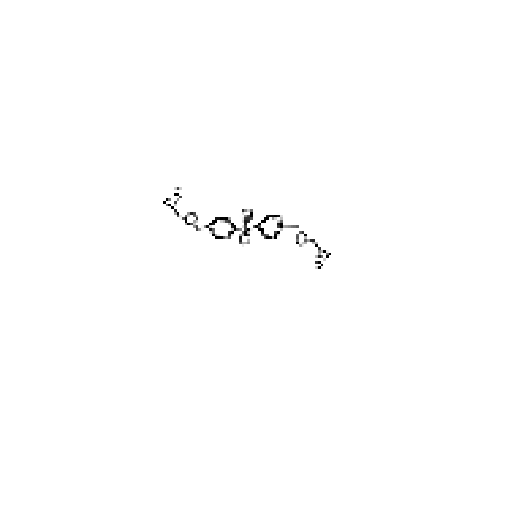 O=S(=O)(c1ccc(COCC2CS2)cc1)c1ccc(COCC2CS2)cc1